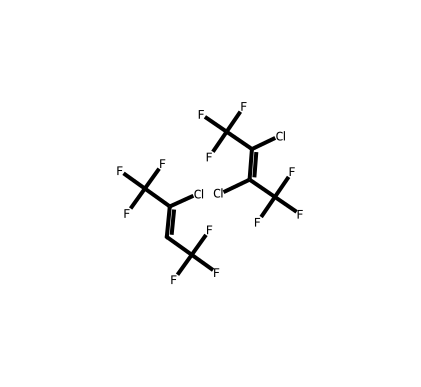 FC(F)(F)C(Cl)=C(Cl)C(F)(F)F.FC(F)(F)C=C(Cl)C(F)(F)F